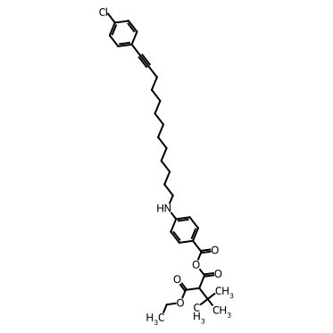 CCOC(=O)C(C(=O)OC(=O)c1ccc(NCCCCCCCCCCCC#Cc2ccc(Cl)cc2)cc1)C(C)(C)C